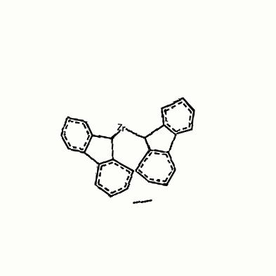 CC.c1ccc2c(c1)-c1ccccc1[CH]2[Zr][CH]1c2ccccc2-c2ccccc21